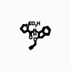 C#CCO[C@@H]1Cc2ccccc2[C@@H]1NC(=O)C1CCCN1C(=O)O